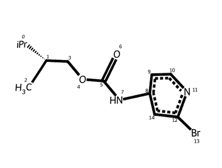 CC(C)[C@@H](C)COC(=O)Nc1ccnc(Br)c1